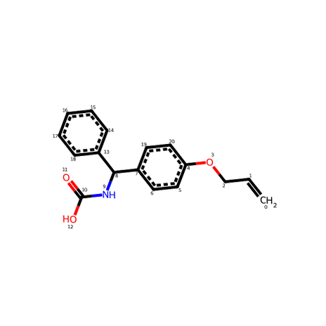 C=CCOc1ccc(C(NC(=O)O)c2ccccc2)cc1